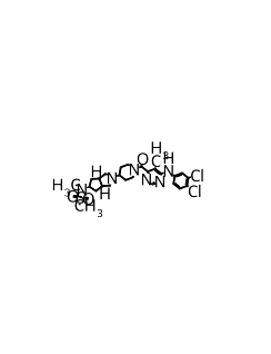 Cc1c(Nc2ccc(Cl)c(Cl)c2)ncnc1C(=O)N1CCC(N2C[C@H]3C[C@@H](N(C)S(C)(=O)=O)C[C@H]3C2)CC1